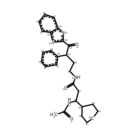 CC(=O)NC(CC(=O)NCCC(C(=O)c1nc2ccccc2s1)c1ccccc1)C1CCCCC1